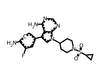 Nc1ccc(-c2cn(C3CCN(S(=O)(=O)C4CC4)CC3)c3ncnc(N)c23)cc1F